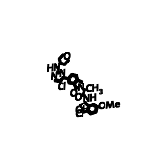 COc1ccc(Cl)c([C@@H](CO)NC(=O)[C@@H](C)N2Cc3ccc(-c4nc(NC5CCOCC5)ncc4Cl)cc3C2=O)c1